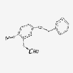 COc1ccc(OCc2ccccc2)cc1SC=O